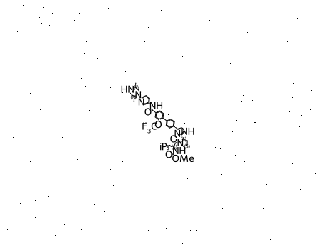 COC(=O)N[C@H](C(=O)N1C[C@@H](C)C[C@H]1c1nc(-c2ccc(-c3ccc(C(=O)Nc4ccc(N5C[C@H](C)NC[C@H]5C)nc4)cc3OC(F)(F)F)cc2)c[nH]1)C(C)C